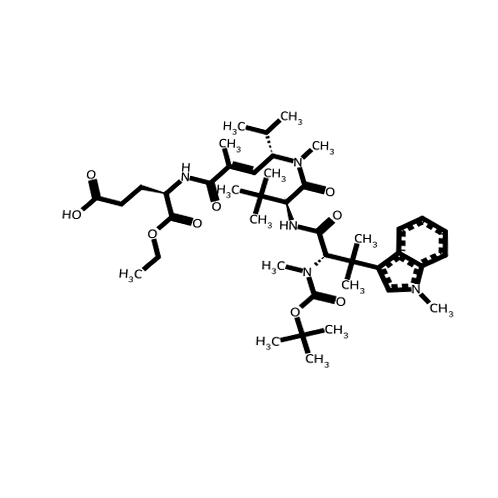 CCOC(=O)[C@@H](CCC(=O)O)NC(=O)/C(C)=C/[C@H](C(C)C)N(C)C(=O)[C@@H](NC(=O)[C@@H](N(C)C(=O)OC(C)(C)C)C(C)(C)c1cn(C)c2ccccc12)C(C)(C)C